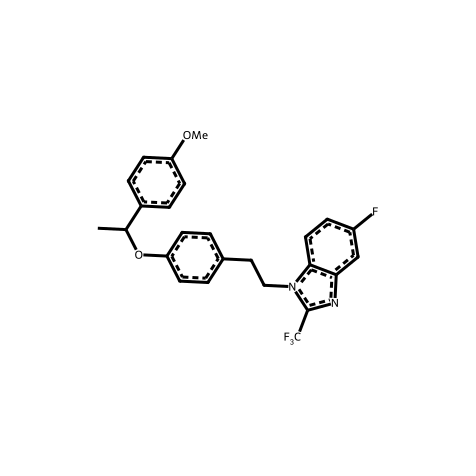 COc1ccc(C(C)Oc2ccc(CCn3c(C(F)(F)F)nc4cc(F)ccc43)cc2)cc1